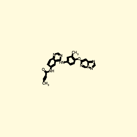 CC#CC(=O)Nc1ccc2ncnc(Nc3ccc(Oc4cc5ncnn5cn4)c(C)c3)c2c1